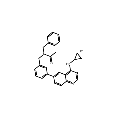 CC(=O)N(Cc1ccccc1)Cc1cccc(-c2ccc3ncnc(NC4CC4)c3c2)c1.Cl